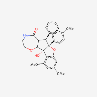 COc1ccc([C@@]23Oc4cc(OC)cc(OC)c4[C@@]2(O)C2OCCNC(=O)C2[C@H]3c2ccccc2)cc1